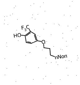 CCCCCCCCCCCCOc1ccc(O)c(C(F)(F)F)c1